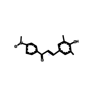 Cc1cc(/C=C/C(=O)c2ccc([S+](C)[O-])cc2)cc(C)c1O